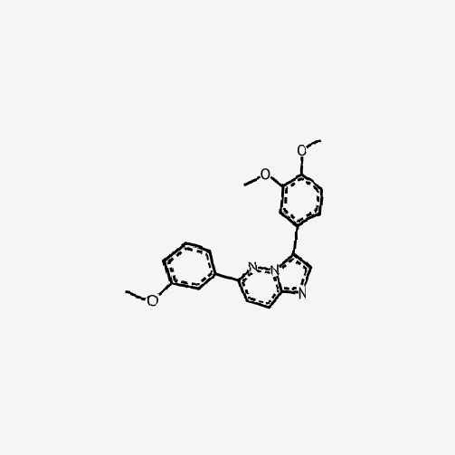 COc1cccc(-c2ccc3ncc(-c4ccc(OC)c(OC)c4)n3n2)c1